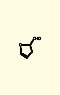 O=CC1OC=CS1